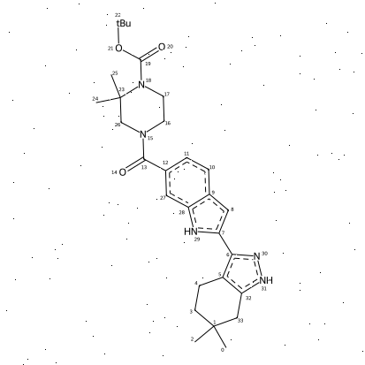 CC1(C)CCc2c(-c3cc4ccc(C(=O)N5CCN(C(=O)OC(C)(C)C)C(C)(C)C5)cc4[nH]3)n[nH]c2C1